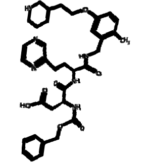 Cc1ccc(OCCC2CCCNC2)cc1CNC(=O)C(CCc1cnccn1)NC(=O)[C@H](CC(=O)O)NC(=O)OCc1ccccc1